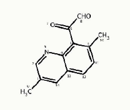 Cc1cnc2c(C(=O)C=O)c(C)ccc2c1